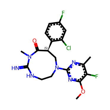 COc1nc(N2CCNC(=N)N(C)C(=O)[C@@H](c3ccc(F)cc3Cl)C2)nc(C)c1F